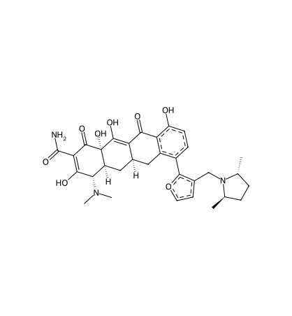 C[C@@H]1CC[C@@H](C)N1Cc1ccoc1-c1ccc(O)c2c1C[C@H]1C[C@H]3[C@H](N(C)C)C(O)=C(C(N)=O)C(=O)[C@@]3(O)C(O)=C1C2=O